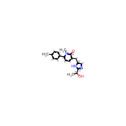 Cc1ccc(-c2ccc(Cc3cnc(C(C)O)[nH]3)c(=O)n2C)cc1